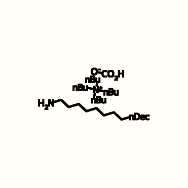 CCCCCCCCCCCCCCCCCCN.CCCC[N+](CCCC)(CCCC)CCCC.O=C([O-])O